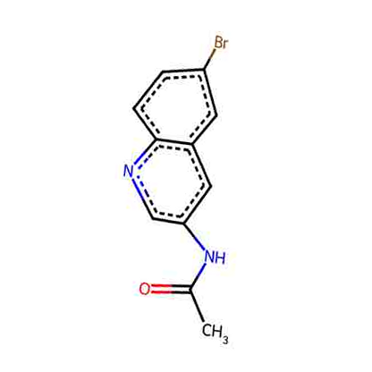 CC(=O)Nc1cnc2ccc(Br)cc2c1